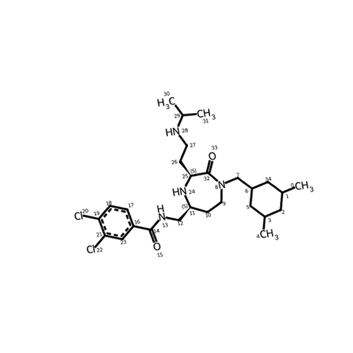 CC1CC(C)CC(CN2CC[C@@H](CNC(=O)c3ccc(Cl)c(Cl)c3)N[C@@H](CCNC(C)C)C2=O)C1